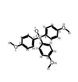 COc1ccc([Si]([O])(c2ccc(OC)cc2)c2ccc(OC)cc2)cc1